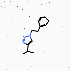 CC(C)c1cn(CCC2=CCCC=C2)nn1